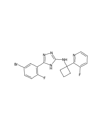 Fc1ccc(Br)cc1-c1nnc(NC2(c3ncccc3F)CCC2)[nH]1